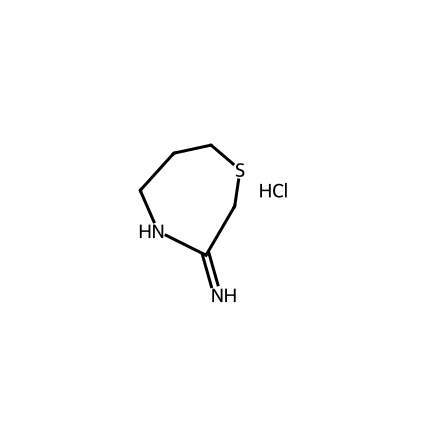 Cl.N=C1CSCCCN1